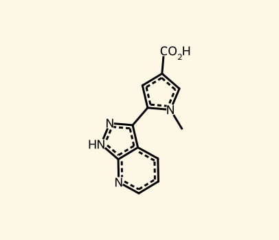 Cn1cc(C(=O)O)cc1-c1n[nH]c2ncccc12